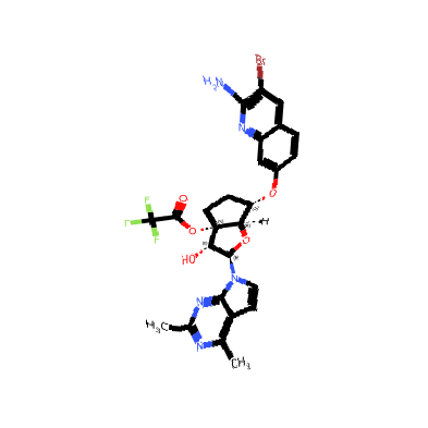 Cc1nc(C)c2ccn([C@@H]3O[C@@H]4[C@@H](Oc5ccc6cc(Br)c(N)nc6c5)CC[C@]4(OC(=O)C(F)(F)F)[C@H]3O)c2n1